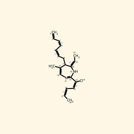 C=C/C=C\C=C/CC1C(C)=CN=C(/C(Cl)=C\C=C/C)N/C1=C/C